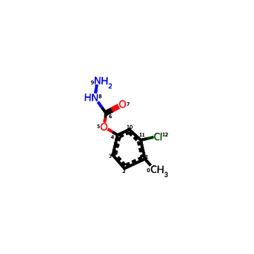 Cc1ccc(OC(=O)NN)cc1Cl